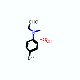 [B+2]c1ccc(N(C)CC=O)cc1.[OH-].[OH-]